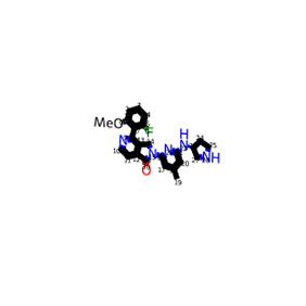 COc1cccc(F)c1-c1nccc2c1CN(c1cc(C)cc(N[C@H]3CCNC3)n1)C2=O